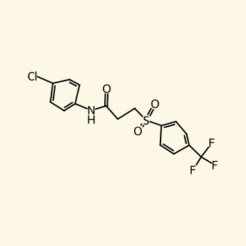 O=C(CCS(=O)(=O)c1ccc(C(F)(F)F)cc1)Nc1ccc(Cl)cc1